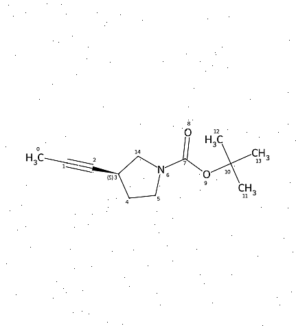 CC#C[C@@H]1CCN(C(=O)OC(C)(C)C)C1